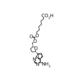 Nc1ncnn2c([C@H]3CC[C@@H](COC(=O)OCCCCCCC(=O)O)O3)ccc12